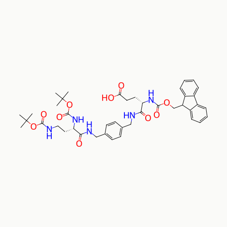 CC(C)(C)OC(=O)NCC[C@H](NC(=O)OC(C)(C)C)C(=O)NCc1ccc(CNC(=O)[C@H](CCC(=O)O)NC(=O)OCC2c3ccccc3-c3ccccc32)cc1